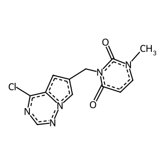 Cn1ccc(=O)n(Cc2cc3c(Cl)ncnn3c2)c1=O